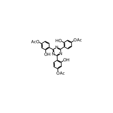 CC(=O)Oc1ccc(-c2nc(-c3ccc(OC(C)=O)cc3O)nc(-c3ccc(OC(C)=O)cc3O)n2)c(O)c1